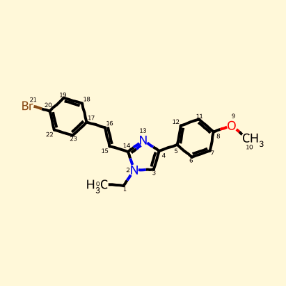 CCn1cc(-c2ccc(OC)cc2)nc1C=Cc1ccc(Br)cc1